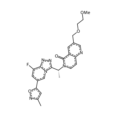 COCCOCc1cnc2ccn([C@H](C)c3nnc4c(F)cc(-c5cc(C)no5)cn34)c(=O)c2c1